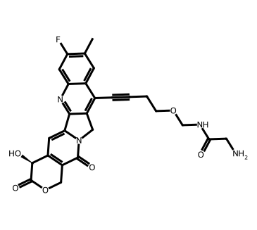 Cc1cc2c(C#CCCOCNC(=O)CN)c3c(nc2cc1F)-c1cc2c(c(=O)n1C3)COC(=O)[C@H]2O